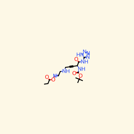 CCC(=O)O/N=C/CNCC#CC(NC(=O)OC(C)(C)C)C(=O)Nc1nnn[nH]1